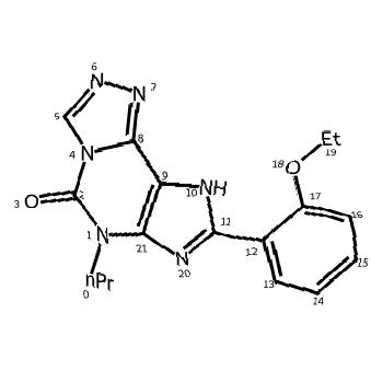 CCCn1c(=O)n2cnnc2c2[nH]c(-c3ccccc3OCC)nc21